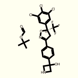 CC(C)(C)OC=O.OC1(c2ccc(C3=NO[C@](c4cc(Cl)c(Cl)c(Cl)c4)(C(F)(F)F)C3)cc2)CNC1